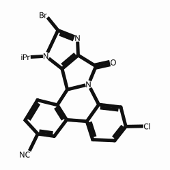 CC(C)n1c(Br)nc2c1C1c3ccc(C#N)cc3-c3ccc(Cl)cc3N1C2=O